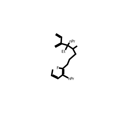 C=CC(=C)C(CC)(CCC)C(C)CCC/C(F)=C(/C=C\C)CCC